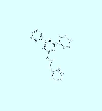 c1ccc(COCc2cc(N3CCOCC3)nc(-c3ccccc3)n2)cc1